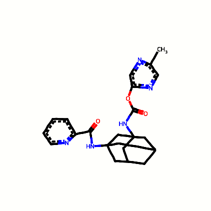 Cc1cnc(OC(=O)NC23CC4CC(C2)CC(NC(=O)c2ccccn2)(C4)C3)cn1